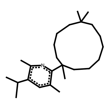 Cc1cc(C(C)C)c(C)nc1C1(C)CCCCCCC(C)(C)CCCC1